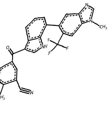 Cn1cnc2cc(-c3cccc4c(C(=O)c5ccc(N)c(C#N)c5)c[nH]c34)c(C(F)(F)F)cc21